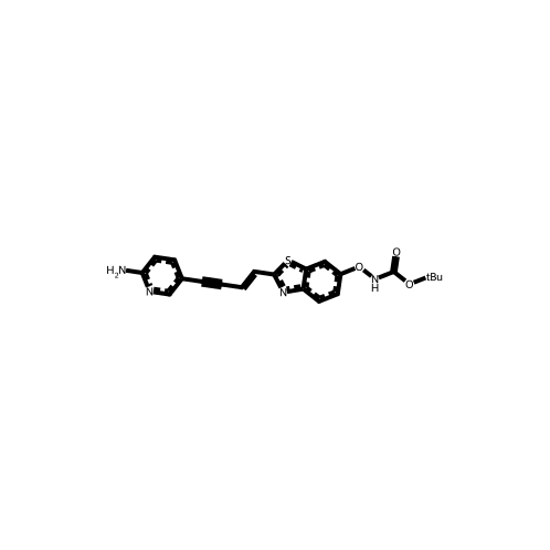 CC(C)(C)OC(=O)NOc1ccc2nc(/C=C/C#Cc3ccc(N)nc3)sc2c1